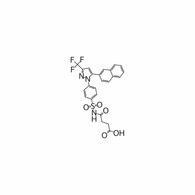 O=C(O)CCC(=O)NS(=O)(=O)c1ccc(-n2nc(C(F)(F)F)cc2-c2ccc3ccccc3c2)cc1